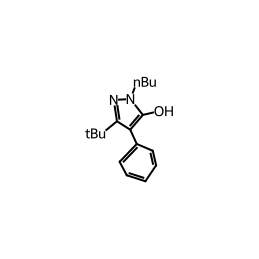 CCCCn1nc(C(C)(C)C)c(-c2ccccc2)c1O